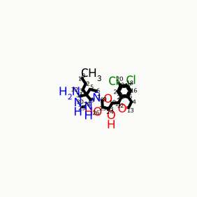 CCCCC12CCN([C@@H]3O[C@H]([C@@H]4OCCc5cc(Cl)c(Cl)cc54)[C@@H](O)[C@H]3O)C1NCNC2N